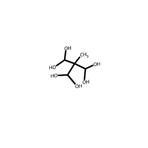 CC(C(O)O)(C(O)O)C(O)O